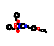 CCOc1ccc(CCN2CC3CC(C2)N(C(=O)OCc2ccccc2)N3C(=O)OCc2ccccc2)cc1